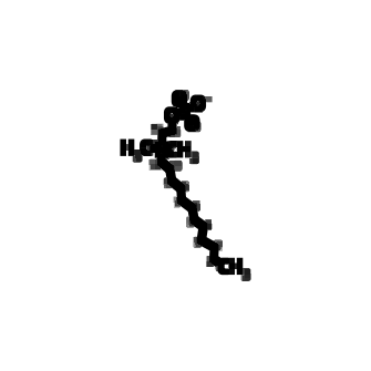 CCCCCCCCCCCC[N+](C)(C)CCOS(=O)(=O)[O-]